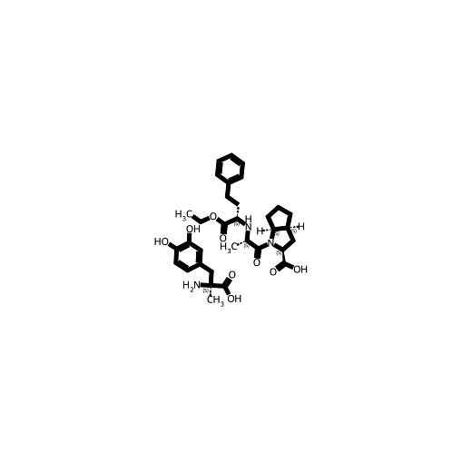 CCOC(=O)[C@H](CCc1ccccc1)N[C@@H](C)C(=O)N1[C@H](C(=O)O)C[C@@H]2CCC[C@@H]21.C[C@](N)(Cc1ccc(O)c(O)c1)C(=O)O